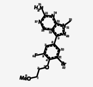 COCCOc1c(F)cc(-c2nn(C)c3nc(N)ncc23)cc1Br